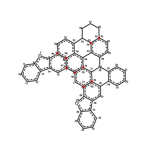 c1cc(-c2ccc3oc4ccccc4c3c2)cc(N(c2ccccc2-c2ccc3oc4ccccc4c3c2)c2ccccc2-c2cccc3cccc(C4CCCCC4)c23)c1